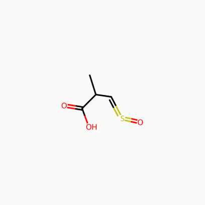 CC(C=S=O)C(=O)O